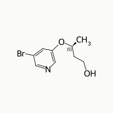 C[C@@H](CCO)Oc1cncc(Br)c1